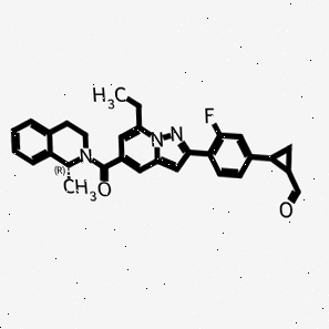 CCc1cc(C(=O)N2CCc3ccccc3[C@H]2C)cc2cc(-c3ccc(C4CC4C=O)cc3F)nn12